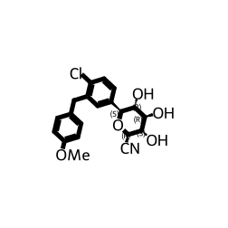 COc1ccc(Cc2cc([C@@H]3O[C@H](C#N)[C@@H](O)[C@H](O)[C@H]3O)ccc2Cl)cc1